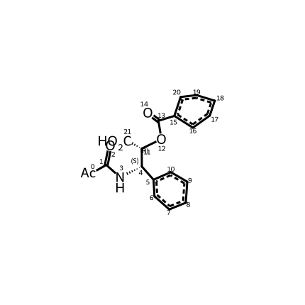 CC(=O)C(=O)N[C@@H](c1ccccc1)[C@@H](OC(=O)c1ccccc1)C(=O)O